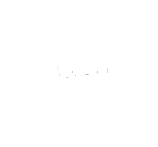 CC(I)CCCCCO